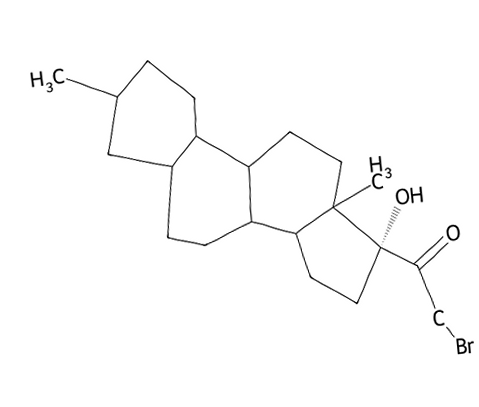 CC1CCC2C(CCC3C2CCC2(C)C3CC[C@]2(O)C(=O)CBr)C1